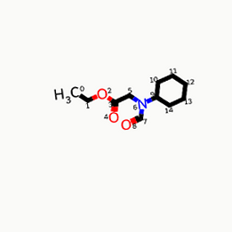 CCOC(=O)CN(C=O)C1CCCCC1